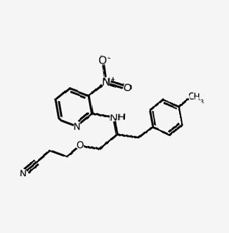 Cc1ccc(CC(COCCC#N)Nc2ncccc2[N+](=O)[O-])cc1